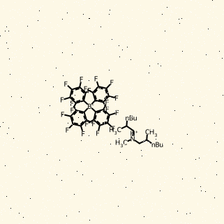 CCCCC(C)C[NH+](C)CC(C)CCCC.Fc1c(F)c(F)c([B-](c2c(F)c(F)c(F)c(F)c2F)(c2c(F)c(F)c(F)c(F)c2F)c2c(F)c(F)c(F)c(F)c2F)c(F)c1F